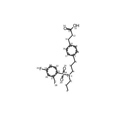 CCCN(CCCc1ccc(CCC(=O)O)cc1)S(=O)(=O)c1ccc(F)cc1F